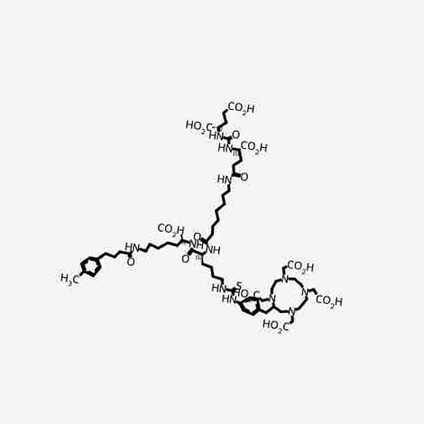 Cc1ccc(CCCC(=O)NCCCCC[C@H](NC(=O)[C@H](CCCCNC(=S)Nc2ccc(CC3CN(CC(=O)O)CCN(CC(=O)O)CCN(CC(=O)O)CCN3CC(=O)O)cc2)NC(=O)CCCCCCCNC(=O)CC[C@H](NC(=O)N[C@@H](CCC(=O)O)C(=O)O)C(=O)O)C(=O)O)cc1